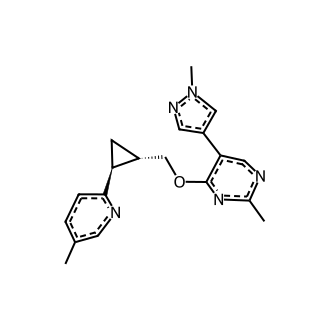 Cc1ccc([C@H]2C[C@@H]2COc2nc(C)ncc2-c2cnn(C)c2)nc1